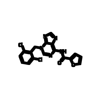 O=C(Nc1ncn(Cc2c(Cl)cccc2Cl)c2ncnc1-2)c1ccco1